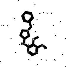 COc1ncnc(NC2CCN(Cc3ccccc3)C2)c1OC